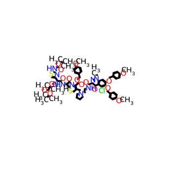 CCn1nc(C(=O)NCC[N+]2(CC3=C(C(=O)OCc4ccc(OC)cc4)N4C(=O)[C@@H](NC(=O)C(=NOC(C)(C)C(=O)OC(C)(C)C)c5csc(NC(=O)OC(C)(C)C)n5)[C@H]4SC3)CCCC2)c(=O)c2c(Cl)c(OCc3ccc(OC)cc3)c(OCc3ccc(OC)cc3)cc21